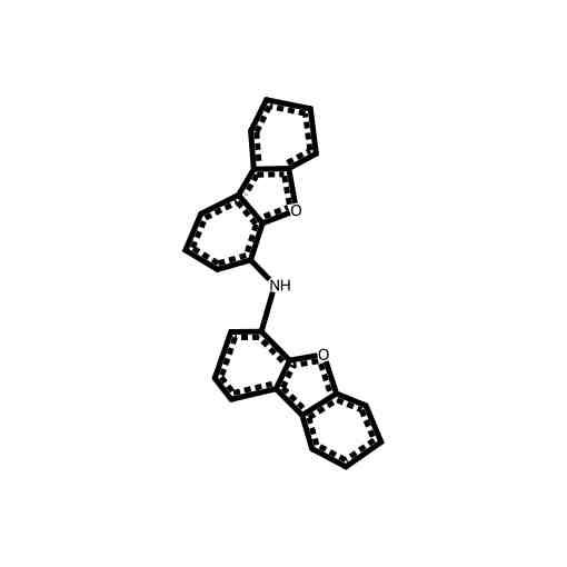 c1ccc2c(c1)oc1c(Nc3cccc4c3oc3ccccc34)cccc12